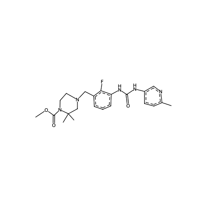 COC(=O)N1CCN(Cc2cccc(NC(=O)Nc3ccc(C)nc3)c2F)CC1(C)C